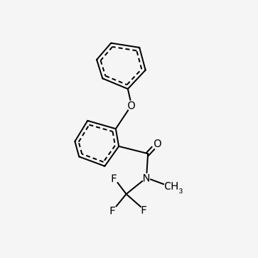 CN(C(=O)c1ccccc1Oc1ccccc1)C(F)(F)F